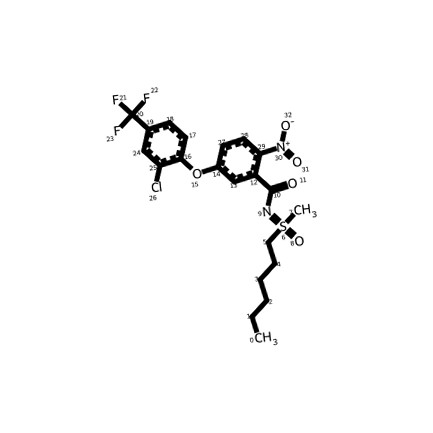 CCCCCCS(C)(=O)=NC(=O)c1cc(Oc2ccc(C(F)(F)F)cc2Cl)ccc1[N+](=O)[O-]